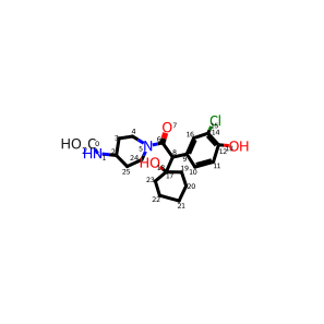 O=C(O)NC1CCN(C(=O)C(c2ccc(O)c(Cl)c2)C2(O)CCCCC2)CC1